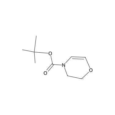 CC(C)(C)OC(=O)N1C=CO[CH]C1